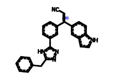 N#C/C=C(\c1cccc(-c2nnc(Cc3ccccc3)[nH]2)c1)c1ccc2[nH]ccc2c1